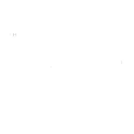 [C]#CC(CCCC)OCCCCCC